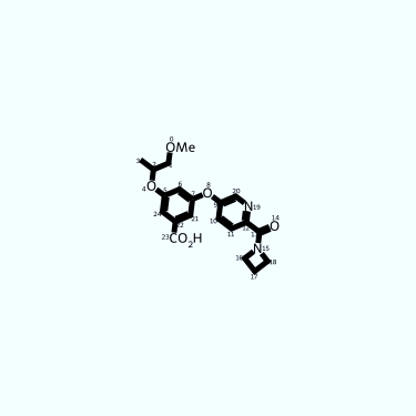 COCC(C)Oc1cc(Oc2ccc(C(=O)N3CCC3)nc2)cc(C(=O)O)c1